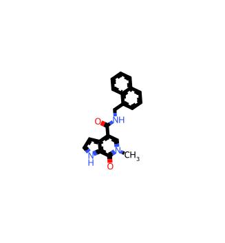 Cn1cc(C(=O)NCc2cccc3ccccc23)c2cc[nH]c2c1=O